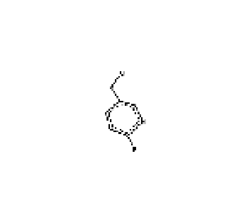 CCc1ccc(CCl)cn1